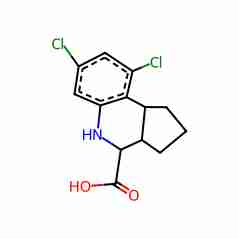 O=C(O)C1Nc2cc(Cl)cc(Cl)c2C2CCCC12